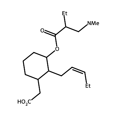 CC/C=C\CC1C(CC(=O)O)CCCC1OC(=O)C(CC)CNC